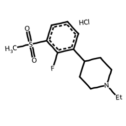 CCN1CCC(c2cccc(S(C)(=O)=O)c2F)CC1.Cl